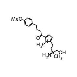 COc1ccc(CCCC(=O)c2ccc(CC[C@@](C)(N)CO)n2C)cc1